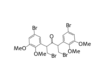 COc1cc(Br)cc(C(CBr)C(=O)C(CBr)c2cc(Br)cc(OC)c2OC)c1OC